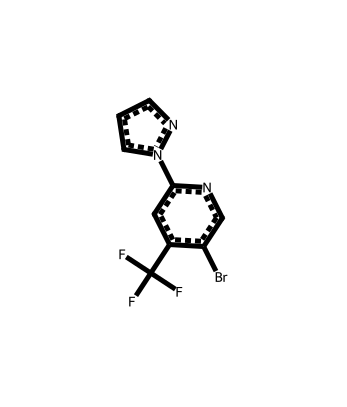 FC(F)(F)c1cc(-n2cccn2)ncc1Br